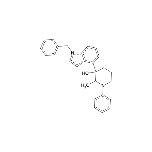 CC1N(c2ccccc2)CCCC1(O)c1cccc2c1ccn2Cc1ccccc1